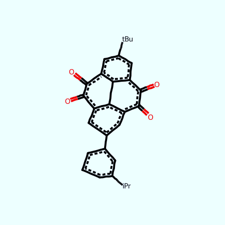 CC(C)c1cccc(-c2cc3c4c(c2)c(=O)c(=O)c2cc(C(C)(C)C)cc(c2-4)c(=O)c3=O)c1